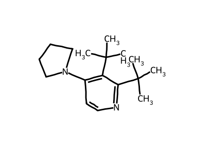 CC(C)(C)c1nccc(N2CCCC2)c1C(C)(C)C